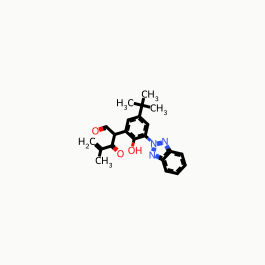 C=C(C)C(=O)C(C=O)c1cc(C(C)(C)C)cc(-n2nc3ccccc3n2)c1O